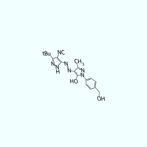 [C-]#[N+]c1c(C(C)(C)C)n[nH]c1/N=N/c1c(C)nn(-c2ccc(CO)cc2)c1O